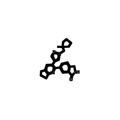 CC1(Cn2cc(-c3cc4c(nc3-c3ccc5c(c3)C(=O)NC5)CCC4)cn2)CCCC1